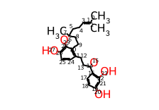 CC(C)=CCCC1(C)CCc2c(CCC(=O)c3ccc(O)cc3O)ccc(O)c2O1